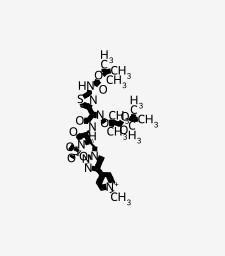 C[n+]1ccc(-c2cn(C[C@@H]3[C@H](NC(=O)C(=NOC(C)(C)C(=O)OC(C)(C)C)c4csc(NC(=O)OC(C)(C)C)n4)C(=O)N3S(=O)(=O)[O-])nn2)cc1